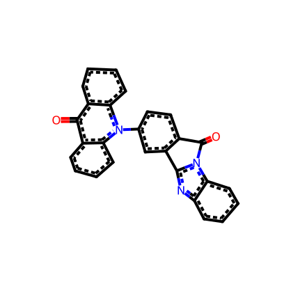 O=C1c2ccc(-n3c4ccccc4c(=O)c4ccccc43)cc2-c2nc3ccccc3n21